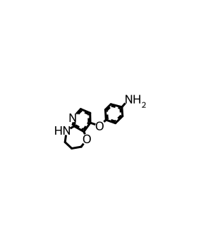 Nc1ccc(Oc2ccnc3c2OCCCN3)cc1